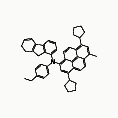 CCc1ccc(N(c2cccc3c2CC2=C3C=CCC2)c2cc(C3CCCC3)c3ccc4c(C)cc(C5CCCC5)c5ccc2c3c45)cc1